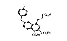 CCOC(=O)c1cc(CCC(=O)O)c2cc(Cc3ccc(F)cc3)cnc2c1OC